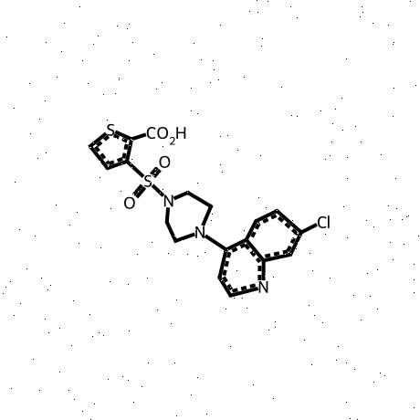 O=C(O)c1sccc1S(=O)(=O)N1CCN(c2ccnc3cc(Cl)ccc23)CC1